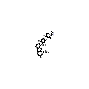 C=C1C=C(Oc2cc(F)c(Nc3ncnc4cc5c(nc34)N(CCCC)CC(C)CC5)cc2C)C=CN1/N=C\C